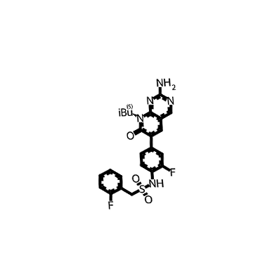 CC[C@H](C)n1c(=O)c(-c2ccc(NS(=O)(=O)Cc3ccccc3F)c(F)c2)cc2cnc(N)nc21